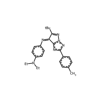 CCN(CC)c1ccc(/N=C2/C(C(C)(C)C)=Nn3nc(-c4ccc(C)cc4)nc32)cc1